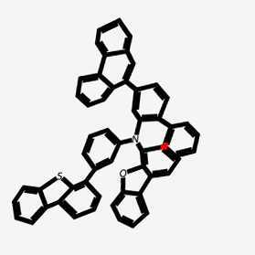 c1ccc(-c2ccc(-c3cc4ccccc4c4ccccc34)cc2N(c2cccc(-c3cccc4c3sc3ccccc34)c2)c2cccc3c2oc2ccccc23)cc1